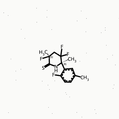 Cc1ccc(F)c([C@@]2(C)NC(=S)[C@@](C)(F)CC2(F)F)c1